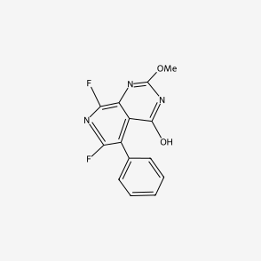 COc1nc(O)c2c(-c3ccccc3)c(F)nc(F)c2n1